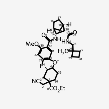 CCOC(=O)C1(CC#N)CCC(Oc2cc(C(=O)N[C@@H]3[C@H]4CC[C@H](C4)[C@@H]3C(=O)NCC3(C)CCC3)c(OC)cc2F)CC1